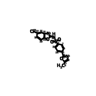 Cc1cnc(-c2ccc(S(=O)(=O)Nc3nc4cc(Cl)ccc4o3)cc2)o1